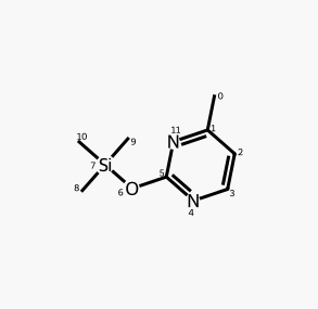 Cc1ccnc(O[Si](C)(C)C)n1